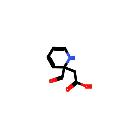 O=CC1(CC(=O)O)C=CC=CN1